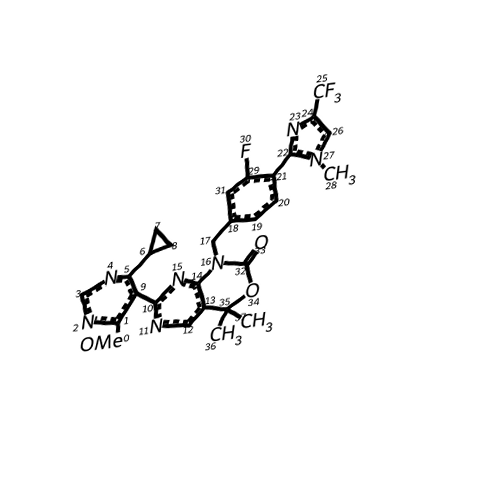 COc1ncnc(C2CC2)c1-c1ncc2c(n1)N(Cc1ccc(-c3nc(C(F)(F)F)cn3C)c(F)c1)C(=O)OC2(C)C